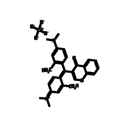 CN(C)c1ccc(C(=C2C=CC(=[N+](C)C)C=C2C(=O)O)c2coc3ccccc3c2=O)c(C(=O)O)c1.[O-][Cl+3]([O-])([O-])[O-]